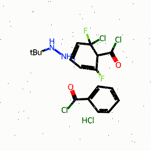 CC(C)(C)NN.Cl.O=C(Cl)C1C(F)=CC=CC1(F)Cl.O=C(Cl)c1ccccc1